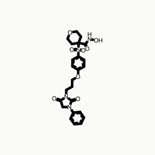 O=C1CN(c2ccccc2)C(=O)N1CCCOc1ccc(S(=O)(=O)C2(C(=O)NO)CCOCC2)cc1